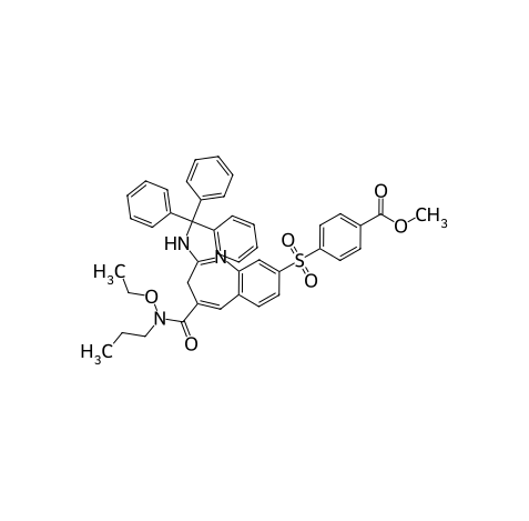 CCCN(OCC)C(=O)C1=Cc2ccc(S(=O)(=O)c3ccc(C(=O)OC)cc3)cc2N=C(NC(c2ccccc2)(c2ccccc2)c2ccccc2)C1